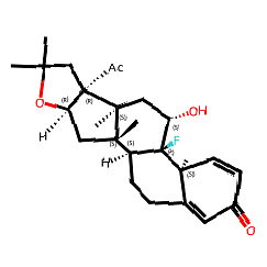 CC(=O)[C@@]12CC(C)(C)O[C@@H]1C[C@@]1(C)[C@@H]3CCC4=CC(=O)C=C[C@]4(C)[C@@]3(F)[C@@H](O)C[C@@]12C